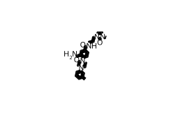 Cc1cccc(N2CCN(c3ccc(C(=O)NCCCN4CCN(C)C4=O)cc3C(N)=O)CC2)c1